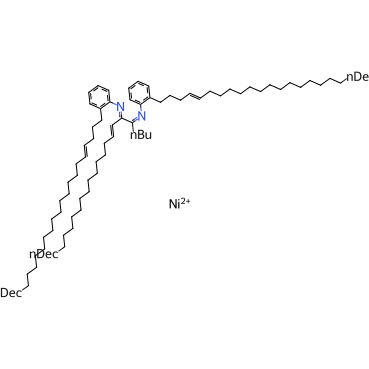 CCCCCCCCCCCCCCCCCCCCCC/C=C/C(=N\c1ccccc1CCC/C=C/CCCCCCCCCCCCCCCCCCCCCCCC)C(/CCCC)=N\c1ccccc1CCC/C=C/CCCCCCCCCCCCCCCCCCCCCCCC.[Ni+2]